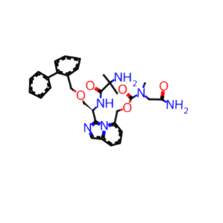 CN(CC(N)=O)C(=O)OCc1cccc2cnc([C@@H](COCc3ccccc3-c3ccccc3)NC(=O)C(C)(C)N)n12